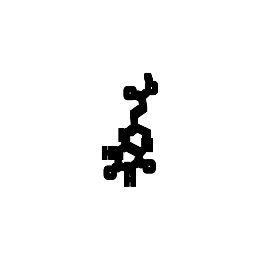 COC(=O)C=Cc1cnc2c(=O)[nH]c(=O)[nH]c2n1